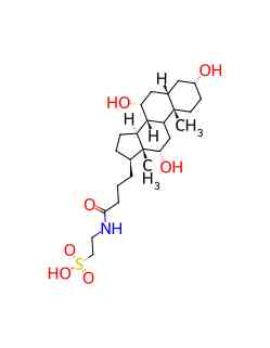 C[C@@]12[C@@H](CCCC(=O)NCCS(=O)(=O)O)CC[C@H]1[C@H]1C(C[C@@H]2O)[C@@]2(C)CC[C@@H](O)C[C@H]2C[C@H]1O